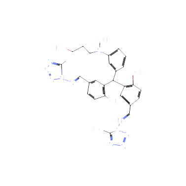 Cc1nnnn1N=Cc1ccc(O)c(C(c2cccc(N(C)CCCO)c2)c2cc(C=Nn3nnnc3C)ccc2O)c1